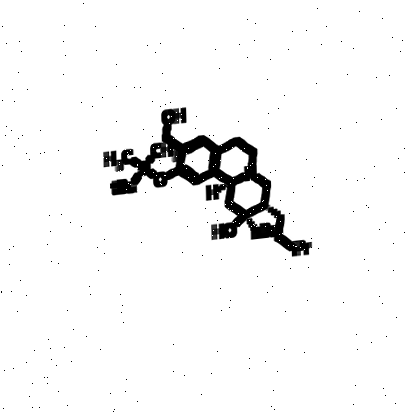 CCCC[C@]1(O)C[C@H]2c3cc(O[Si](C)(C)C(C)(C)C)c(CO)cc3CCN2C[C@@H]1CCC(C)C